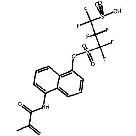 C=C(C)C(=O)Nc1cccc2c(OS(=O)(=O)C(F)(F)C(F)(F)C(F)(F)S(=O)(=O)O)cccc12